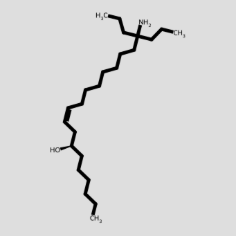 CCCCCC[C@@H](O)C/C=C\CCCCCCCC(N)(CCC)CCC